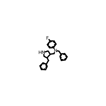 Fc1ccc(N(Cc2ccccc2)CC2CNCC2Cc2ccccc2)cc1